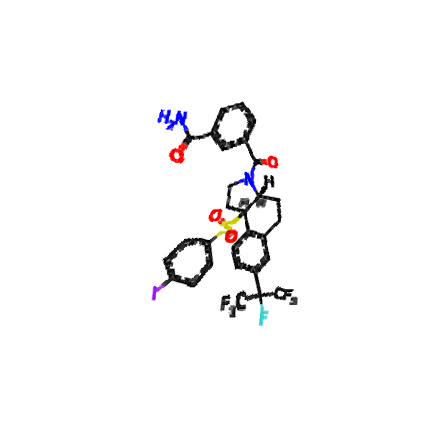 NC(=O)c1cccc(C(=O)N2CC[C@@]3(S(=O)(=O)c4ccc(I)cc4)c4ccc(C(F)(C(F)(F)F)C(F)(F)F)cc4CC[C@@H]23)c1